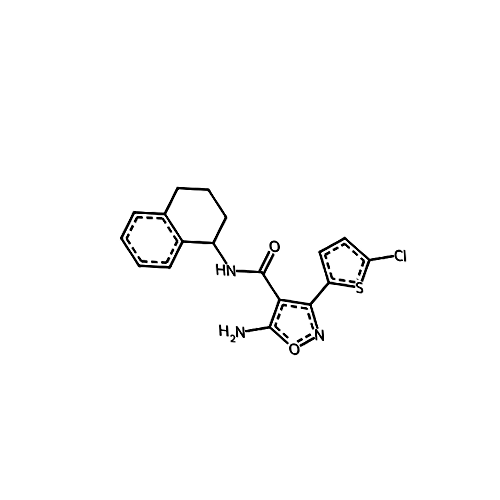 Nc1onc(-c2ccc(Cl)s2)c1C(=O)NC1CCCc2ccccc21